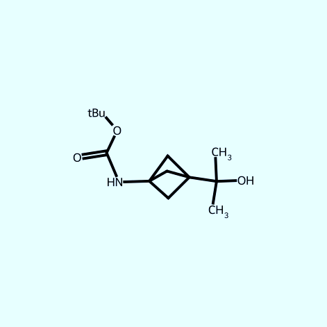 CC(C)(C)OC(=O)NC12CC(C(C)(C)O)(C1)C2